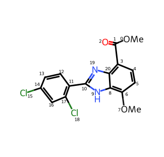 COC(=O)c1ccc(OC)c2[nH]c(-c3ccc(Cl)cc3Cl)nc12